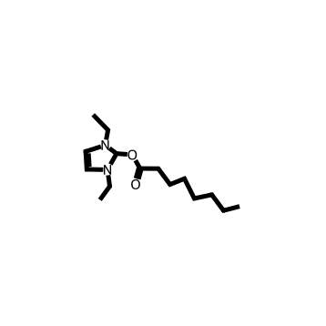 CCCCCCCC(=O)OC1N(CC)C=CN1CC